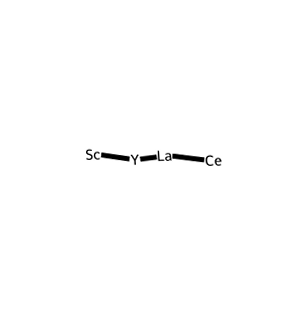 [Sc][Y][La][Ce]